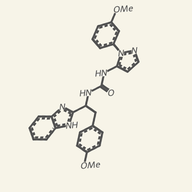 COc1ccc(CC(NC(=O)Nc2ccnn2-c2cccc(OC)c2)c2nc3ccccc3[nH]2)cc1